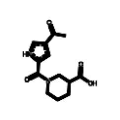 CC(=O)c1c[nH]c(C(=O)N2CCCC(C(=O)O)C2)c1